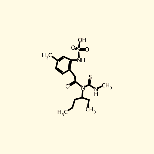 CCCC(CC)N(C(=O)Cc1ccc(C)cc1NS(=O)(=O)O)C(=S)NC